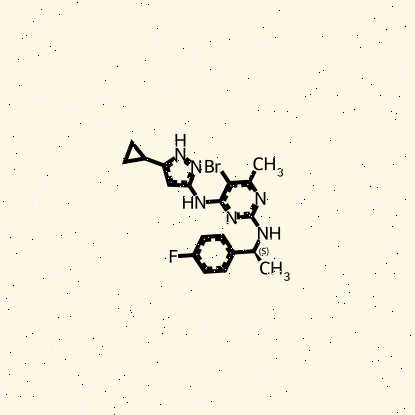 Cc1nc(N[C@@H](C)c2ccc(F)cc2)nc(Nc2cc(C3CC3)[nH]n2)c1Br